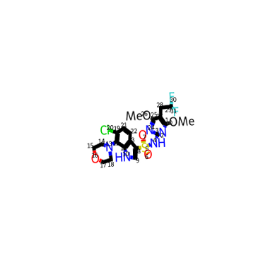 COc1nc(NS(=O)(=O)c2c[nH]c3c(N4CCOCC4)c(Cl)ccc23)nc(OC)c1CC(F)F